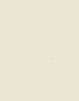 CN1CCN(C2CCC(n3cc(B4OC(C)(C)C(C)(C)O4)cn3)CC2)CC1=O